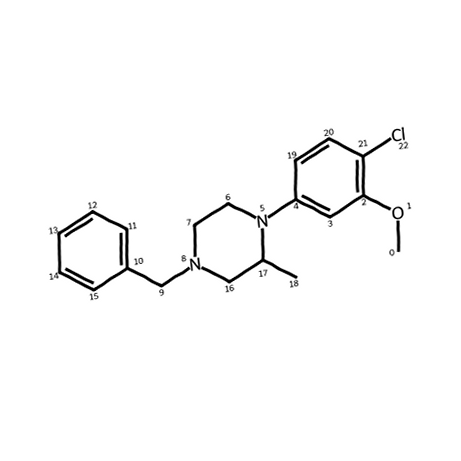 COc1cc(N2CCN(Cc3ccccc3)CC2C)ccc1Cl